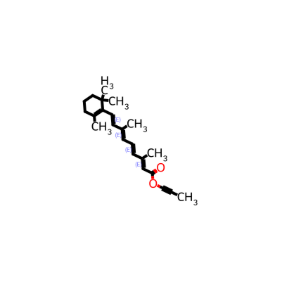 CC#COC(=O)/C=C(C)/C=C/C=C(C)/C=C/C1=C(C)CCCC1(C)C